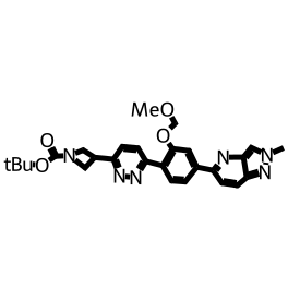 COCOc1cc(-c2ccc3nn(C)cc3n2)ccc1-c1ccc(C2CN(C(=O)OC(C)(C)C)C2)nn1